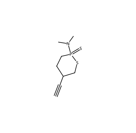 C#CC1CCP(=S)(N(C)C)SC1